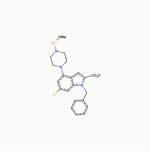 COBN1CCN(c2cc(F)cc3c2cc(C(=O)O)n3Cc2ccccc2)CC1